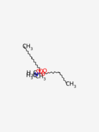 CCCCCCCCC=CCCCCCCCC(=O)OC(CC[N+](C)(C)C)OC(=O)CCCCCCC/C=C\CCCCCCCC